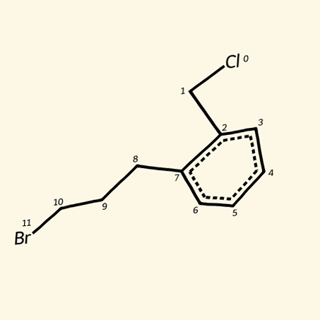 ClCc1ccccc1CCCBr